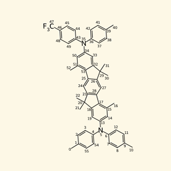 Cc1ccc(N(c2ccc(C)cc2)c2cc(C)c3c(c2)C(C)(C)c2cc4c(cc2-3)C(C)(C)c2cc(N(c3ccc(C)cc3)c3ccc(C(F)(F)F)cc3)cc(C)c2-4)cc1